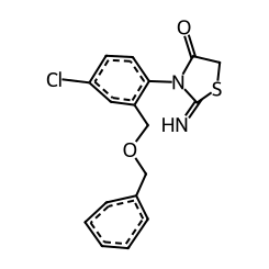 N=C1SCC(=O)N1c1ccc(Cl)cc1COCc1ccccc1